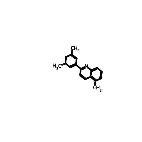 CC1=CC(c2ccc3c(C)cccc3n2)=CC(C)C1